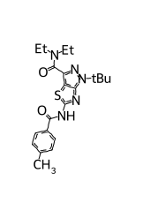 CCN(CC)C(=O)c1nn(C(C)(C)C)c2nc(NC(=O)c3ccc(C)cc3)sc12